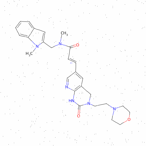 CN(Cc1cc2ccccc2n1C)C(=O)/C=C/c1cnc2c(c1)CN(CCN1CCOCC1)C(=O)N2